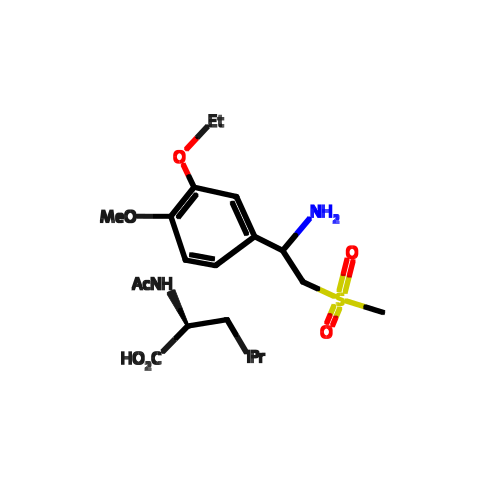 CC(=O)N[C@@H](CC(C)C)C(=O)O.CCOc1cc(C(N)CS(C)(=O)=O)ccc1OC